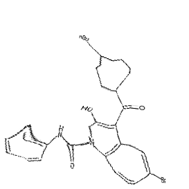 CCCCC1CCC(C(=O)c2c(O)n(C(=O)Nc3ccccc3)c3ccc(Br)cc23)CC1